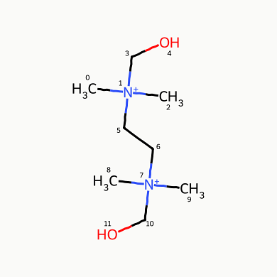 C[N+](C)(CO)CC[N+](C)(C)CO